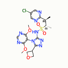 COc1ncnc(OC)c1-n1c(NS(=O)(=O)[C@@H](C)[C@H](C)c2ncc(Cl)cn2)nnc1C1COC1